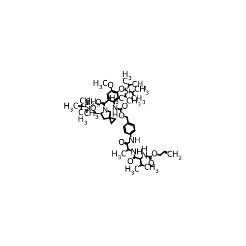 C=CCOC(=O)NC(C(=O)NC(C)C(=O)Nc1ccc(COC(=O)Nc2cc(O[Si](C(C)C)(C(C)C)C(C)C)c(OC)cc2C(=O)N2CC3(CC3)C[C@H]2CO[Si](C)(C)C(C)(C)C)cc1)C(C)C